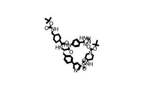 CC(C)(C)OC(=O)NCC1CCC(C(=O)N[C@@H](Cc2ccc(-c3cncc(S(=O)(=O)NC4CCN(C(=O)OC(C)(C)C)CC4)c3)cc2)C(=O)Nc2ccc(-c3nnn[nH]3)cc2)CC1